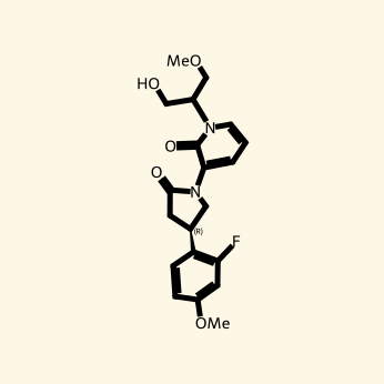 COCC(CO)n1cccc(N2C[C@@H](c3ccc(OC)cc3F)CC2=O)c1=O